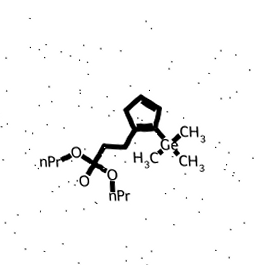 CCCOC([O])(CCC1=[C]([Ge]([CH3])([CH3])[CH3])C=CC1)OCCC